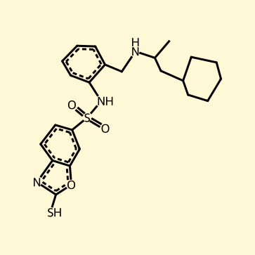 CC(CC1CCCCC1)NCc1ccccc1NS(=O)(=O)c1ccc2nc(S)oc2c1